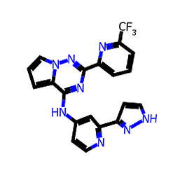 FC(F)(F)c1cccc(-c2nc(Nc3ccnc(-c4cc[nH]n4)c3)c3cccn3n2)n1